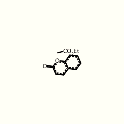 CCOC(C)=O.O=c1ccc2ccccc2o1